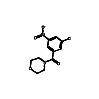 O=C(c1cc(Cl)cc([N+](=O)[O-])c1)N1CCOCC1